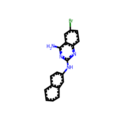 Nc1nc(Nc2ccc3ccccc3c2)nc2ccc(Br)cc12